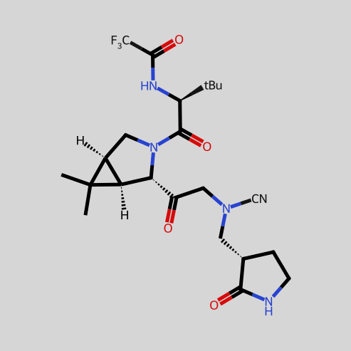 CC(C)(C)[C@H](NC(=O)C(F)(F)F)C(=O)N1C[C@H]2[C@@H]([C@H]1C(=O)CN(C#N)C[C@@H]1CCNC1=O)C2(C)C